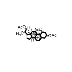 CC(=O)OC[C@@H](C)[C@H]1CC[C@H]2[C@@H]3CC=C4C[C@@H](OC(C)=O)C[C@H](OC(C)=O)[C@]4(C)[C@H]3CC[C@]12C